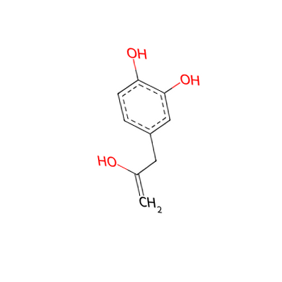 C=C(O)Cc1ccc(O)c(O)c1